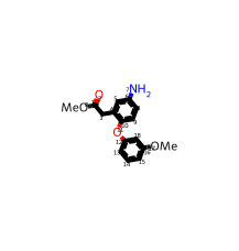 COC(=O)Cc1cc(N)ccc1Oc1cccc(OC)c1